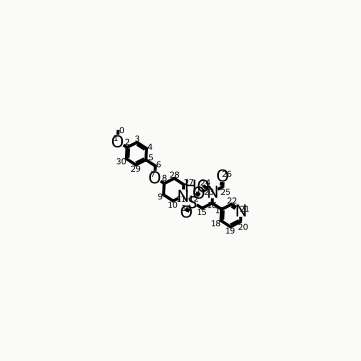 COc1ccc(COC2CCN(S(=O)(=O)CC(c3cccnc3)N(O)C=O)CC2)cc1